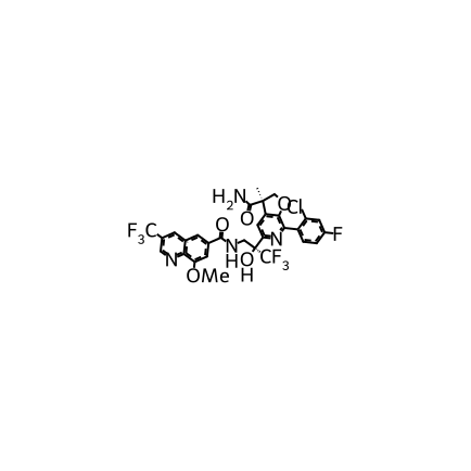 COc1cc(C(=O)NC[C@](O)(c2cc3c(c(-c4ccc(F)cc4Cl)n2)OC[C@]3(C)C(N)=O)C(F)(F)F)cc2cc(C(F)(F)F)cnc12